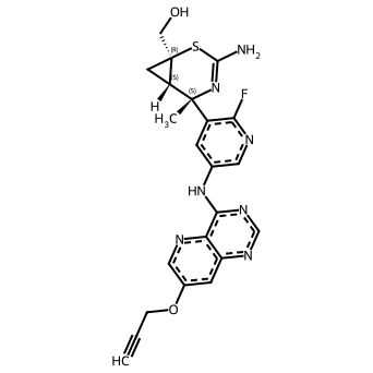 C#CCOc1cnc2c(Nc3cnc(F)c([C@@]4(C)N=C(N)S[C@]5(CO)C[C@H]54)c3)ncnc2c1